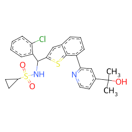 CC(C)(O)c1ccnc(-c2cccc3cc(C(NS(=O)(=O)C4CC4)c4ccccc4Cl)sc23)c1